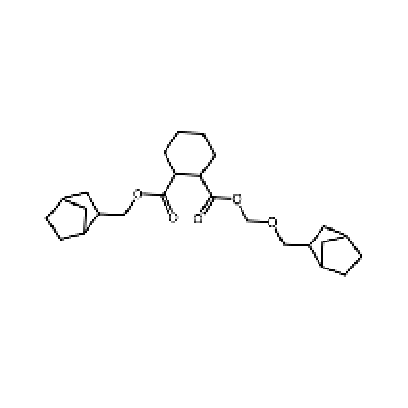 O=C(OCOCC1CC2CCC1C2)C1CCCCC1C(=O)OCC1CC2CCC1C2